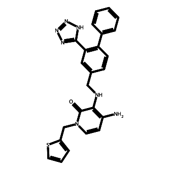 Nc1ccn(Cc2cccs2)c(=O)c1NCc1ccc(-c2ccccc2)c(-c2nnn[nH]2)c1